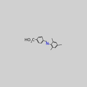 Cc1cc(C)c(N=Cc2ccc(C(=O)O)cc2)c(C)c1